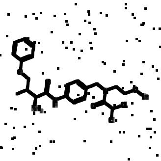 CCOCCN(Cc1ccc(NC(=O)[C@@H](N)C(C)COc2ccccc2)cc1)C(=O)C(Cl)Cl